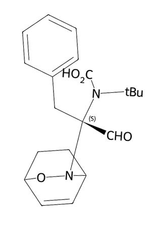 CC(C)(C)N(C(=O)O)[C@@](C=O)(Cc1ccccc1)N1OC2C=CC1CC2